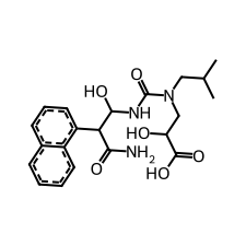 CC(C)CN(CC(O)C(=O)O)C(=O)NC(O)C(C(N)=O)c1cccc2ccccc12